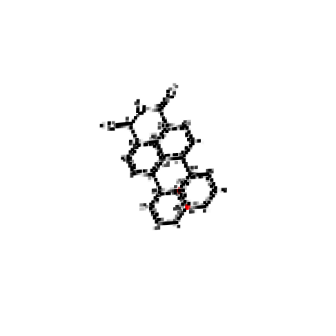 O=C1OC(=O)c2ccc(-c3ccccc3)c3c(-c4ccccc4)ccc1c23